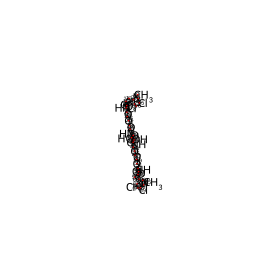 CN1Cc2c(Cl)cc(Cl)cc2C(c2cccc(S(=O)(=O)NCCOCCOCCOCCNC(=O)[C@@H](O)[C@@H](O)C(=O)NCCOCCOCCOCCNS(=O)(=O)c3cccc(C4CN(C)Cc5c(Cl)cc(Cl)cc54)c3)c2)C1